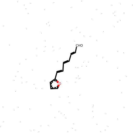 O=C/C=C/C=C/C=C/c1ccco1